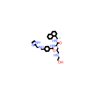 C[C@H](NC(=O)[C@H](CCCNCCO)NC(=O)c1ccc(CNCc2ncc[nH]2)cc1)c1cccc2ccccc12